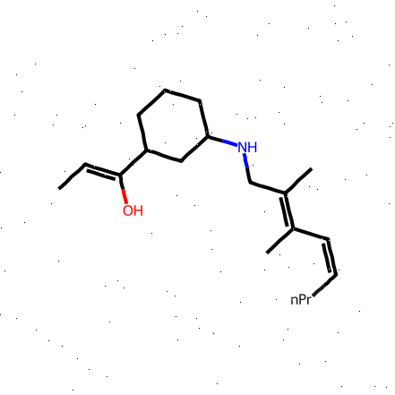 CC=C(O)C1CCCC(NC/C(C)=C(C)/C=C\CCC)C1